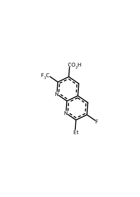 CCc1nc2nc(C(F)(F)F)c(C(=O)O)cc2cc1F